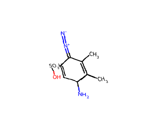 CC1=C(C)C(N)C=CC1=[N+]=[N-].O=S(=O)(O)O